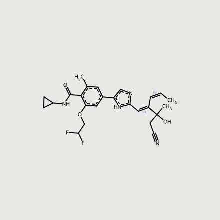 C/C=C\C(=C/c1ncc(-c2cc(C)c(C(=O)NC3CC3)c(OCC(F)F)c2)[nH]1)C(C)(O)CC#N